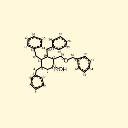 ON1CC(Cc2ccccc2)C(Cc2ccccc2)C(Cc2ccccc2)C1COCc1ccccc1